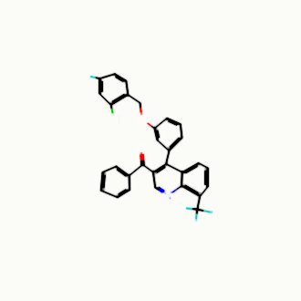 O=C(c1ccccc1)c1cnc2c(C(F)(F)F)cccc2c1-c1cccc(OCc2ccc(F)cc2Cl)c1